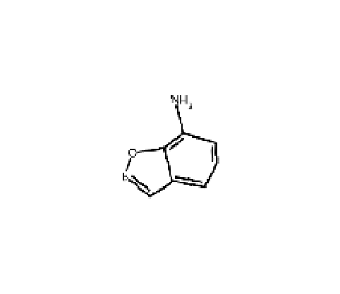 Nc1cccc2cboc12